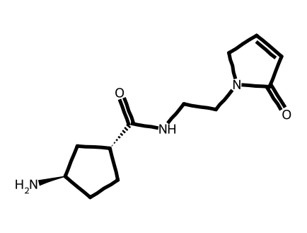 N[C@@H]1CC[C@@H](C(=O)NCCN2CC=CC2=O)C1